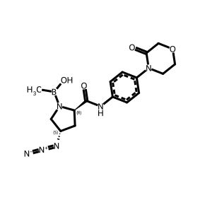 CB(O)N1C[C@@H](N=[N+]=[N-])C[C@@H]1C(=O)Nc1ccc(N2CCOCC2=O)cc1